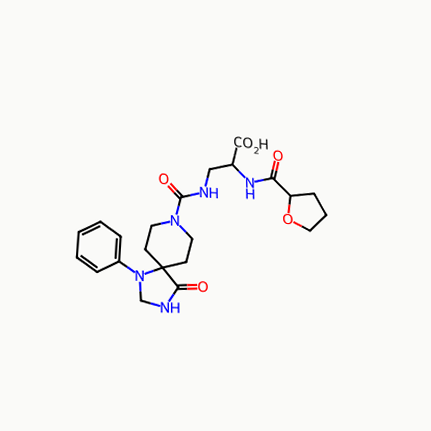 O=C(O)C(CNC(=O)N1CCC2(CC1)C(=O)NCN2c1ccccc1)NC(=O)C1CCCO1